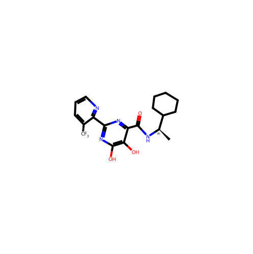 C[C@@H](NC(=O)c1nc(-c2ncccc2C(F)(F)F)nc(O)c1O)C1CCCCC1